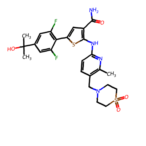 Cc1nc(Nc2sc(-c3c(F)cc(C(C)(C)O)cc3F)cc2C(N)=O)ccc1CN1CCS(=O)(=O)CC1